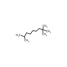 CC(C)CCC[CH]CC(C)(C)C